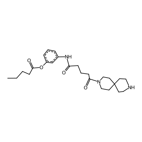 CCCCC(=O)Oc1cccc(NC(=O)CCCC(=O)N2CCC3(CCNCC3)CC2)c1